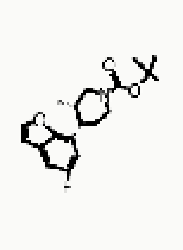 C[C@@H]1CN(C(=O)OC(C)(C)C)CC[C@@H]1c1cc(F)cc2ccoc12